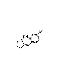 CN1CCCC1=Cc1ccc(Br)cc1